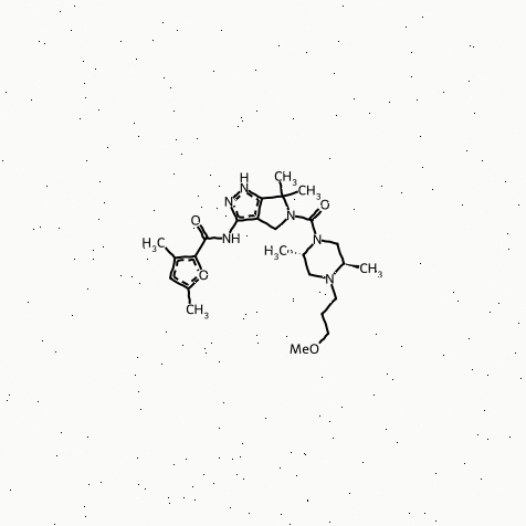 COCCCN1C[C@H](C)N(C(=O)N2Cc3c(NC(=O)c4oc(C)cc4C)n[nH]c3C2(C)C)C[C@H]1C